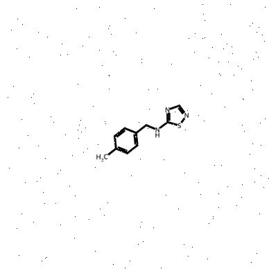 Cc1ccc(CNc2ncns2)cc1